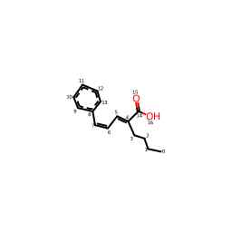 CCCC/C(=C\C=C/c1ccccc1)C(=O)O